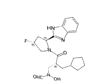 O=CN(O)C[C@@H](CC1CCCC1)C(=O)N1C[C@H](F)C[C@H]1c1nc2ccccc2[nH]1